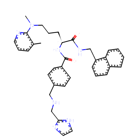 Cc1cccnc1N(C)CCC[C@H](NC(=O)c1ccc(CNCc2ncc[nH]2)cc1)C(=O)NCc1cccc2ccccc12